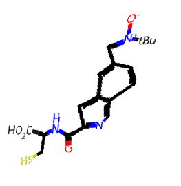 CC(C)(C)/[N+]([O-])=C\c1ccc2cnc(C(=O)NC(CS)C(=O)O)cc2c1